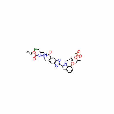 CC(COc1cccc2cc(-c3nc4cc5c(cc4n3C)CCN(CC(CF)NC(=O)OC(C)(C)C)C5=O)n(CC3CC3)c12)OS(C)(=O)=O